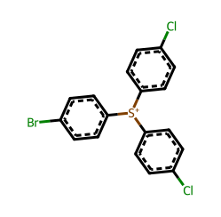 Clc1ccc([S+](c2ccc(Cl)cc2)c2ccc(Br)cc2)cc1